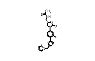 CC(=S)NC[C@H]1CN(c2ccc(-c3csc(Cn4cncn4)n3)c(F)c2)C(=O)O1